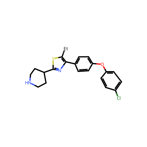 CCc1sc(C2CCNCC2)nc1-c1ccc(Oc2ccc(Cl)cc2)cc1